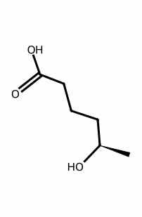 C[C@@H](O)CCCC(=O)O